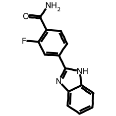 NC(=O)c1ccc(-c2nc3ccccc3[nH]2)cc1F